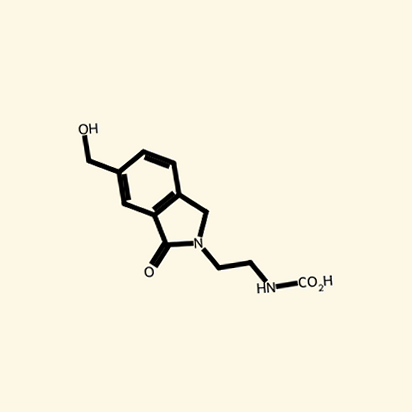 O=C(O)NCCN1Cc2ccc(CO)cc2C1=O